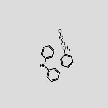 Cc1ccccc1.[Cl][Pt][Cl].c1ccc(Pc2ccccc2)cc1